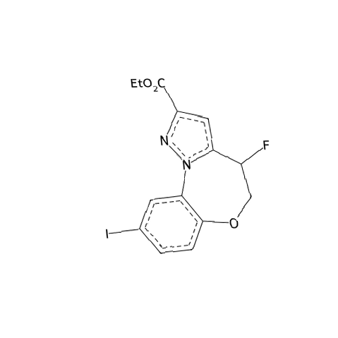 CCOC(=O)c1cc2n(n1)-c1cc(I)ccc1OCC2F